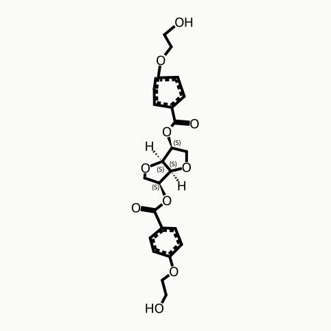 O=C(O[C@H]1CO[C@@H]2[C@H]1OC[C@@H]2OC(=O)c1ccc(OCCO)cc1)c1ccc(OCCO)cc1